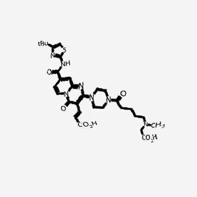 CN(CCCCC(=O)N1CCN(c2nc3cc(C(=O)Nc4nc(C(C)(C)C)cs4)ccn3c(=O)c2C=CC(=O)O)CC1)CC(=O)O